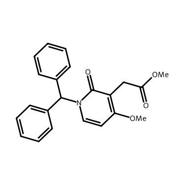 COC(=O)Cc1c(OC)ccn(C(c2ccccc2)c2ccccc2)c1=O